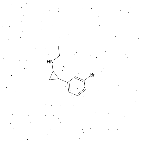 CCNC1CC1c1cccc(Br)c1